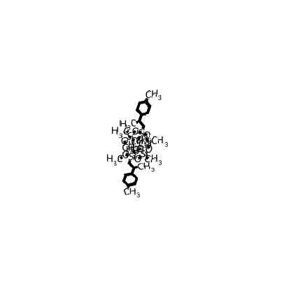 CO[Si](C)(C)O[Si](C)(CC(C)C1CC=C(C)CC1)O[Si](C)(C)O[Si](C)(C)O[Si](C)(CC(C)C1CC=C(C)CC1)OC